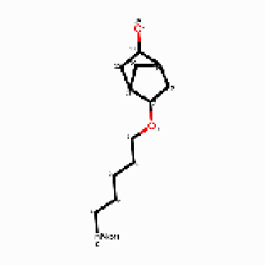 [CH2]CCCCCCCCCCCCCOC1CC2CC1CC2[O]